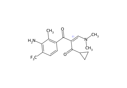 Cc1c(C(=O)/C(=C/N(C)C)C(=O)C2CC2)ccc(C(F)(F)F)c1N